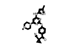 Cc1cc(Nc2cc(N3CCN(C)CC3)nc(Sc3ccc(C(=O)C4(C#N)CC4)cc3)n2)[nH]n1